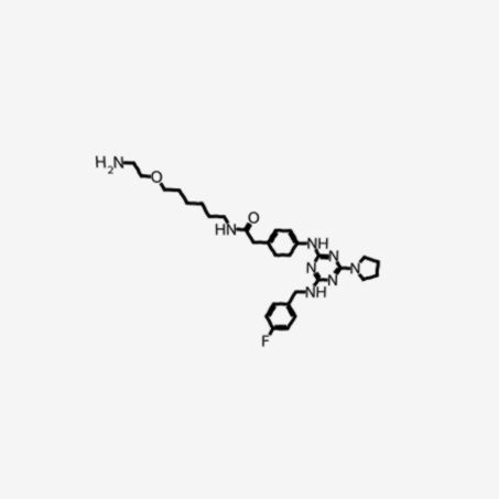 NCCOCCCCCCNC(=O)CC1=CC=C(Nc2nc(NCc3ccc(F)cc3)nc(N3CCCC3)n2)CC1